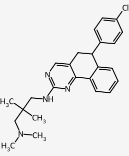 CN(C)CC(C)(C)CNc1ncc2c(n1)-c1ccccc1C(c1ccc(Cl)cc1)C2